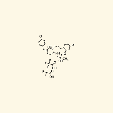 C[C@](O)(CNC1CCN(Cc2ccc(Cl)cc2)CC1)COc1cc(F)ccc1CCC(=O)O.O=C(O)C(F)(F)F.O=C(O)C(F)(F)F